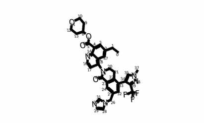 CCc1cc(C(=O)OC2CCOCC2)c2nccc(N3CCc4c(cc(Cn5ccnc5)cc4-c4cn(C)nc4C(F)(F)F)C3=O)c2c1